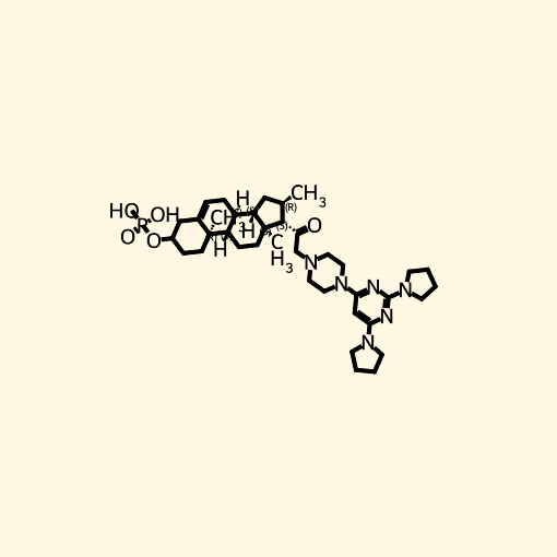 C[C@@H]1C[C@H]2[C@@H]3CC=C4CC(OP(=O)(O)O)CC[C@]4(C)[C@H]3CC[C@]2(C)[C@H]1C(=O)CN1CCN(c2cc(N3CCCC3)nc(N3CCCC3)n2)CC1